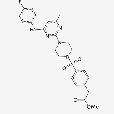 COC(=O)Cc1ccc(S(=O)(=O)N2CCN(c3nc(C)cc(Nc4ccc(F)cc4)n3)CC2)cc1